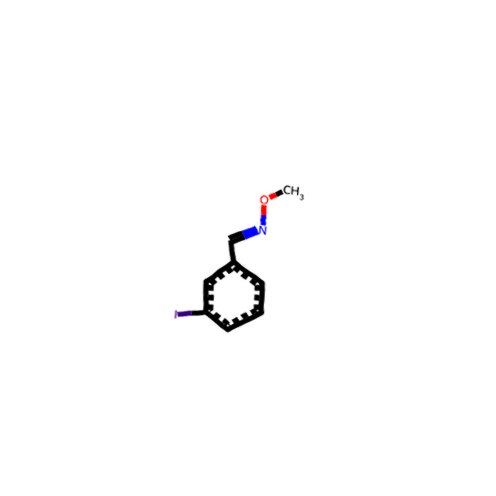 CON=Cc1cccc(I)c1